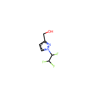 OCc1ccn(C(F)C(F)F)n1